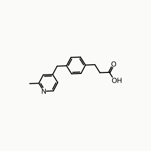 Cc1cc(Cc2ccc(CCC(=O)O)cc2)ccn1